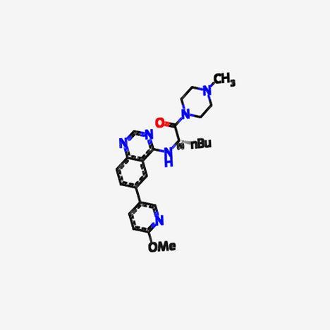 CCCC[C@H](Nc1ncnc2ccc(-c3ccc(OC)nc3)cc12)C(=O)N1CCN(C)CC1